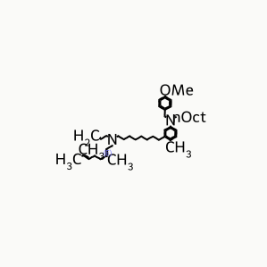 C=CCN(C/C=C(\C)CCC=C(C)C)CCCCCCCCc1cc(N(CCCCCCCC)Cc2ccc(OC)cc2)ccc1C